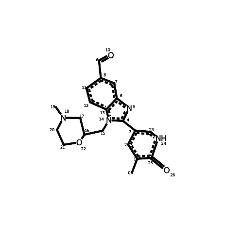 Cc1cc(-c2nc3cc(C=O)ccc3n2CC2CN(C)CCO2)c[nH]c1=O